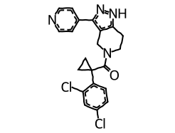 O=C(N1CCc2[nH]nc(-c3ccncc3)c2C1)C1(c2ccc(Cl)cc2Cl)CC1